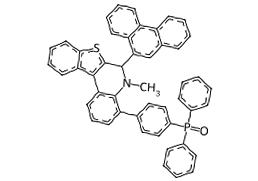 CN1c2c(-c3ccc(P(=O)(c4ccccc4)c4ccccc4)cc3)cccc2-c2c(sc3ccccc23)C1c1cc2ccccc2c2ccccc12